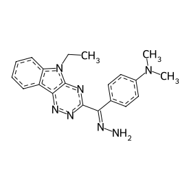 CCn1c2ccccc2c2nnc(/C(=N/N)c3ccc(N(C)C)cc3)nc21